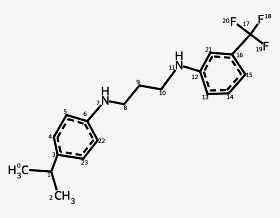 CC(C)c1ccc(NCCCNc2cccc(C(F)(F)F)c2)cc1